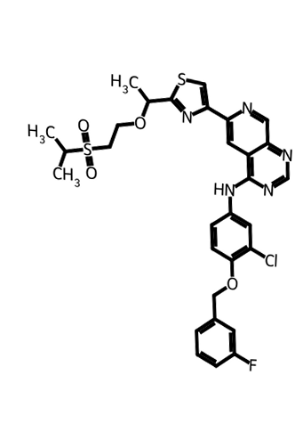 CC(OCCS(=O)(=O)C(C)C)c1nc(-c2cc3c(Nc4ccc(OCc5cccc(F)c5)c(Cl)c4)ncnc3cn2)cs1